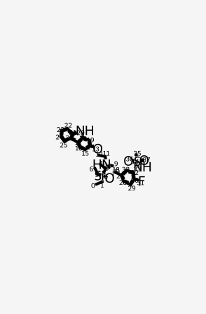 CC[Si](CC)(CC)O[C@H](CNCCOc1ccc2c(c1)[nH]c1ccccc12)c1ccc(F)c(NS(C)(=O)=O)c1